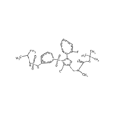 CC(C)NS(=O)(=O)Nc1cccc(S(=O)(=O)n2c(-c3ccccc3F)cc(CN(C)C(=O)OC(C)(C)C)c2Cl)c1